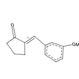 COc1cccc(/C=C2\CCCC2=O)c1